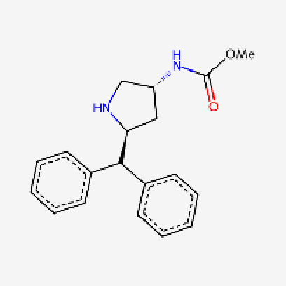 COC(=O)N[C@H]1CN[C@H](C(c2ccccc2)c2ccccc2)C1